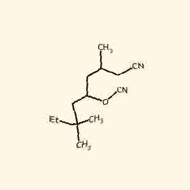 CCC(C)(C)CC(CC(C)CC#N)OC#N